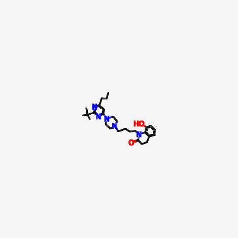 CCCc1cc(N2CCN(CCCCN3C(=O)CCc4cccc(O)c43)CC2)nc(C(C)(C)C)n1